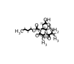 CCCCOC(=O)N(C(=O)[C@H](C)NC(=O)[C@H](C)N)[C@H]([C]=O)CC(=O)O